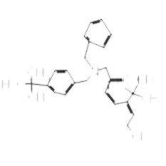 C=C(/C=C\C(=C/CC)C(C)(C)C)CN(Cc1ccccc1)Cc1ccc(C(C)(C)C)cc1